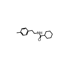 Cc1ccc(C[CH]NC(=O)C2CCCCC2)cc1